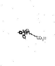 Cc1ccc(-c2nc3c(nc2-c2cccc(C)c2)N(CCCCCCC(=O)O)CCC3)cc1